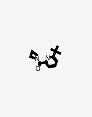 CC(C)(C)c1cccc(C(=O)N2CCC2)n1